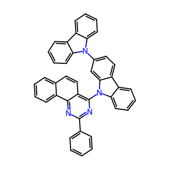 c1ccc(-c2nc(-n3c4ccccc4c4ccc(-n5c6ccccc6c6ccccc65)cc43)c3ccc4ccccc4c3n2)cc1